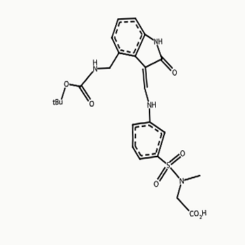 CN(CC(=O)O)S(=O)(=O)c1cccc(N/C=C2\C(=O)Nc3cccc(CNC(=O)OC(C)(C)C)c32)c1